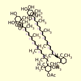 CC(=O)OC1CC(C)(C)C(=C=C/C(C)=C/C=C/C(C)=C/C=C/C=C(C)/C=C/C=C(\C)C(=O)CC2(O)C(C)(C)CC(O)CC2(C)O)C(C)(O)C1.CC1=C(C#C/C(C)=C/C=C/C(C)=C/C=C/C=C(C)/C=C/C=C(C)/C=C/C23OC2(C)CC(O)(O)CC3(C)C)C(C)(C)CCC1